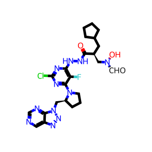 O=CN(O)C[C@H](CC1CCCC1)C(=O)NNc1nc(Cl)nc(N2CCC[C@H]2Cn2nnc3cncnc32)c1F